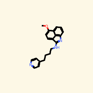 COc1ccc2c3c(cccc13)N=C2NCCCCc1ccncc1